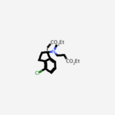 CCOC(=O)CCN(C)[C@]1(CC(=O)OCC)CCc2c(Cl)cccc21